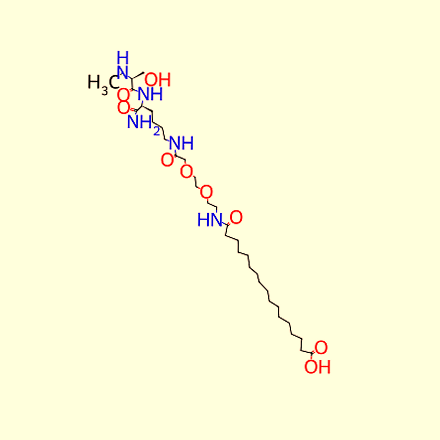 CN[C@@H](CO)C(=O)N[C@@H](CCCCNC(=O)COCCOCCNC(=O)CCCCCCCCCCCCCCCC(=O)O)C(N)=O